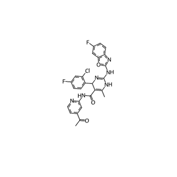 CC(=O)c1ccnc(NC(=O)C2=C(C)NC(Nc3nc4ccc(F)cc4o3)=NC2c2ccc(F)cc2Cl)c1